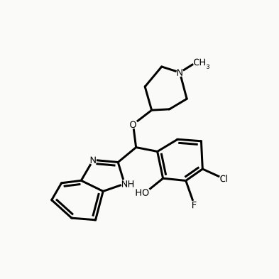 CN1CCC(OC(c2nc3ccccc3[nH]2)c2ccc(Cl)c(F)c2O)CC1